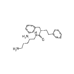 NCCC[C@H](N)CNC(=O)C(CCc1ccccc1)Cc1ccccc1